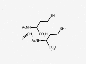 C=S.CC(=O)N[C@@H](CCS)C(=O)O.CC(=O)N[C@@H](CCS)C(=O)O